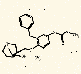 B.CCC(=O)Nc1ccc(OCC2(O)CN3CCC2CC3)c(Cc2ccccc2)c1